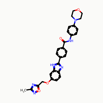 Cc1noc(COc2ccc3nc(-c4ccc(C(=O)Nc5ccc(N6CCOCC6)cc5)cc4)[nH]c3c2)n1